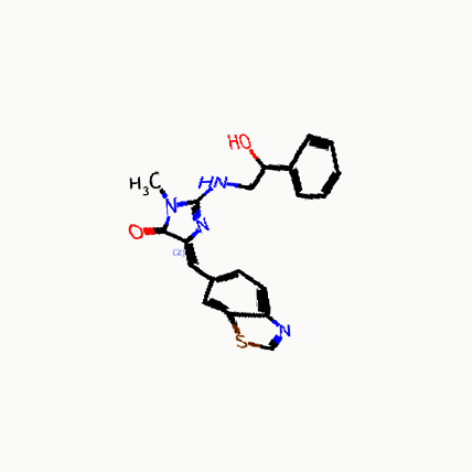 CN1C(=O)/C(=C/c2ccc3ncsc3c2)N=C1NCC(O)c1ccccc1